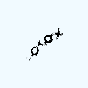 CC1CCN(C(=O)Nc2ccc(OC(F)(F)F)cc2)CC1